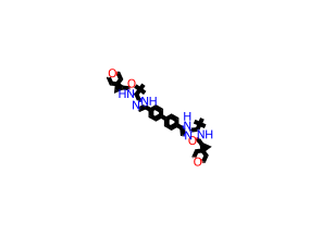 CC(C)(C)C(NC(=O)C1CC12CCOCC2)c1ncc(-c2ccc(-c3ccc(-c4cnc([C@@H](NC(=O)C5CC56CCOCC6)C(C)(C)C)[nH]4)cc3)cc2)[nH]1